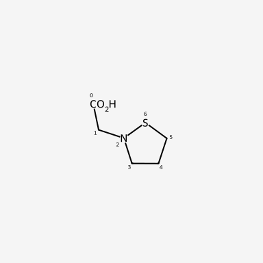 O=C(O)CN1CCCS1